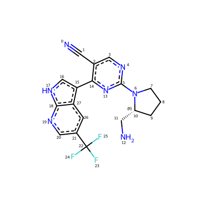 N#Cc1cnc(N2CCC[C@@H]2CN)nc1-c1c[nH]c2ncc(C(F)(F)F)cc12